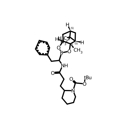 CC(C)(C)OC(=O)N1CCCCC1CCC(=O)NC(Cc1ccccc1)B1O[C@@H]2C[C@@H]3C[C@@H](C3(C)C)[C@]2(C)O1